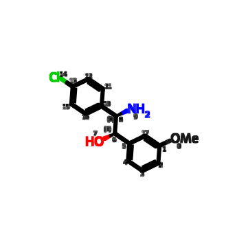 COc1cccc([C@@H](O)[C@H](N)c2ccc(Cl)cc2)c1